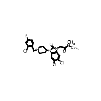 CN(C)C(=O)Cn1c(=O)n(C2CCN(Cc3ccc(F)cc3Cl)CC2)c2cc(Cl)c(Cl)cc21